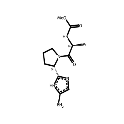 Bc1cnc([C@@H]2CCCN2C(=O)[C@@H](NC(=O)OC)C(C)C)[nH]1